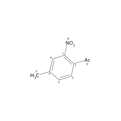 CC(=O)c1ccc(C)cc1[N+](=O)[O-]